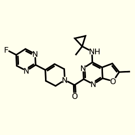 Cc1cc2c(NC3(C)CC3)nc(C(=O)N3CC=C(c4ncc(F)cn4)CC3)nc2o1